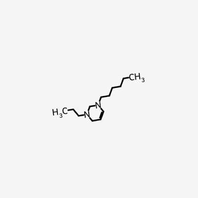 CCCCCCN1C=CCN(CCC)C1